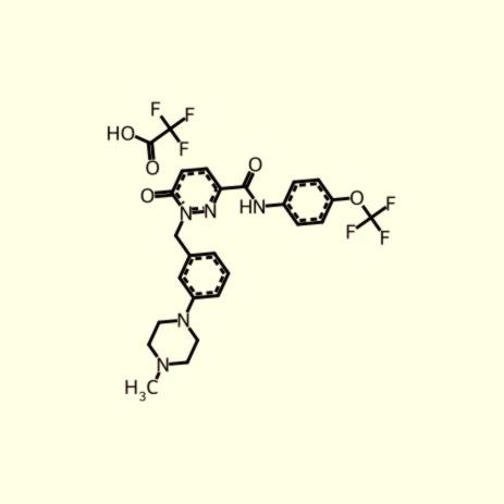 CN1CCN(c2cccc(Cn3nc(C(=O)Nc4ccc(OC(F)(F)F)cc4)ccc3=O)c2)CC1.O=C(O)C(F)(F)F